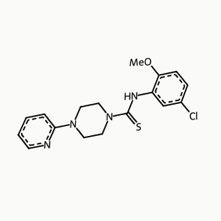 COc1ccc(Cl)cc1NC(=S)N1CCN(c2ccccn2)CC1